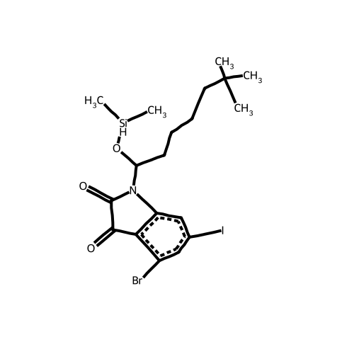 C[SiH](C)OC(CCCCC(C)(C)C)N1C(=O)C(=O)c2c(Br)cc(I)cc21